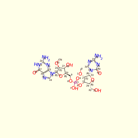 CO[C@H]1C(OP(=O)(O)OC[C@H]2O[C@@H](n3cnc4c(=O)[nH]c(N)nc43)[C@@H](OC)C2O)[C@@H](CO)O[C@H]1n1cnc(N)nc1=O